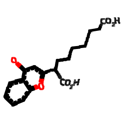 O=C(O)CCCCCCC(C(=O)O)c1cc(=O)c2ccccc2o1